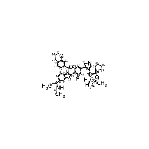 C/C=C(\NCC)c1ccc2c(c1)cc1n2C(c2ccc3c(c2)OCCC3)Oc2cc(-c3cnc([C@@H]4CCCN4C(=O)OC(C)(C)C)[nH]3)cc(F)c2-1